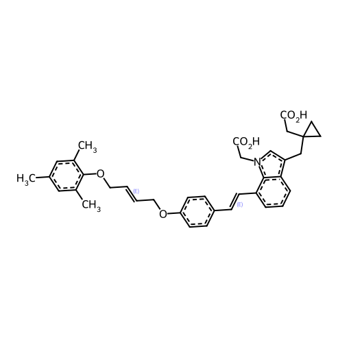 Cc1cc(C)c(OC/C=C/COc2ccc(/C=C/c3cccc4c(CC5(CC(=O)O)CC5)cn(CC(=O)O)c34)cc2)c(C)c1